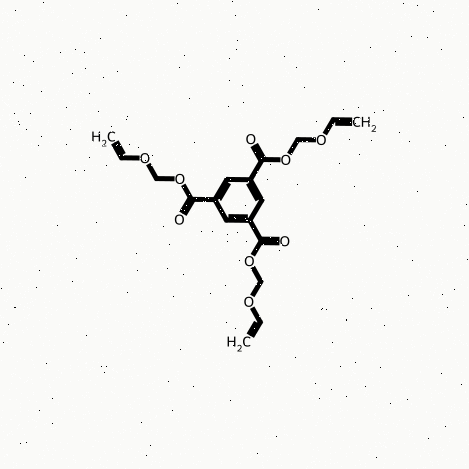 C=COCOC(=O)c1cc(C(=O)OCOC=C)cc(C(=O)OCOC=C)c1